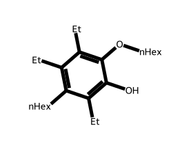 CCCCCCOc1c(O)c(CC)c(CCCCCC)c(CC)c1CC